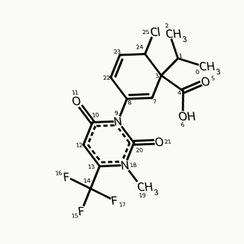 CC(C)C1(C(=O)O)C=C(n2c(=O)cc(C(F)(F)F)n(C)c2=O)C=CC1Cl